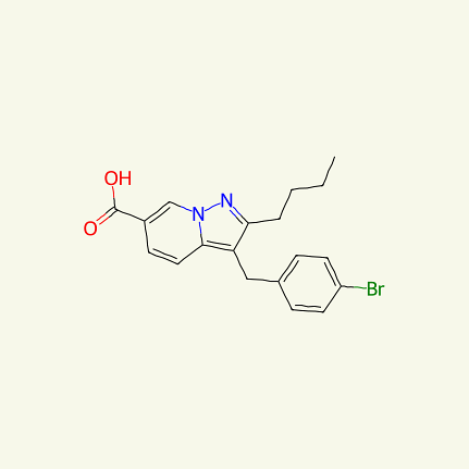 CCCCc1nn2cc(C(=O)O)ccc2c1Cc1ccc(Br)cc1